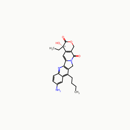 CCCCc1c2c(nc3ccc(N)cc13)-c1cc3c(c(=O)n1C2)COC(=O)[C@]3(O)CC